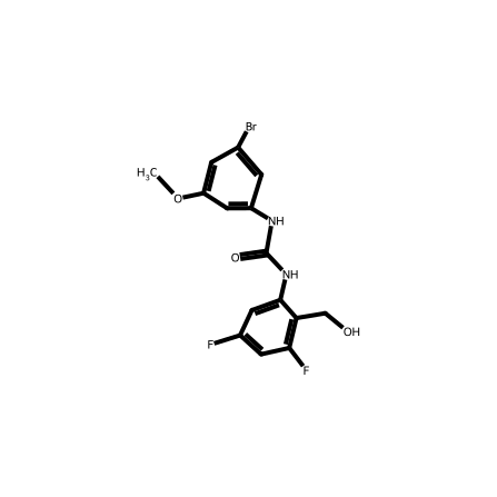 COc1cc(Br)cc(NC(=O)Nc2cc(F)cc(F)c2CO)c1